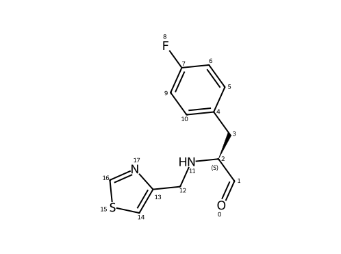 O=C[C@H](Cc1ccc(F)cc1)NCc1cscn1